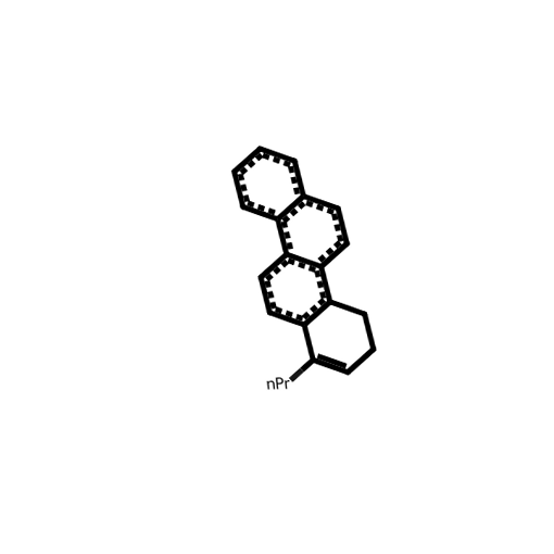 [CH2]CCC1=CCCc2c1ccc1c2ccc2ccccc21